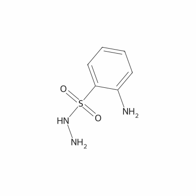 NNS(=O)(=O)c1ccccc1N